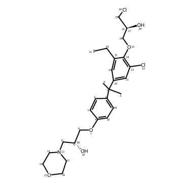 CC(C)(c1ccc(OC[C@H](O)CN2CCOCC2)cc1)c1cc(Cl)c(OC[C@H](O)CCl)c(CI)c1